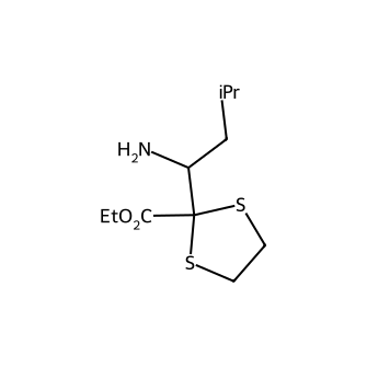 CCOC(=O)C1(C(N)CC(C)C)SCCS1